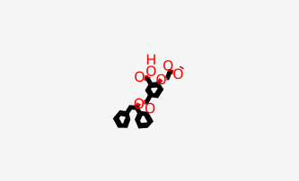 COC(=O)COc1ccc(C(=O)OC(Cc2ccccc2)c2ccccc2)cc1C(=O)O